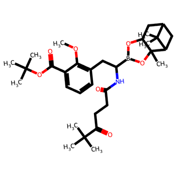 COc1c(CC(NC(=O)CCC(=O)C(C)(C)C)B2OC3CC4CC(C4(C)C)C3(C)O2)cccc1C(=O)OC(C)(C)C